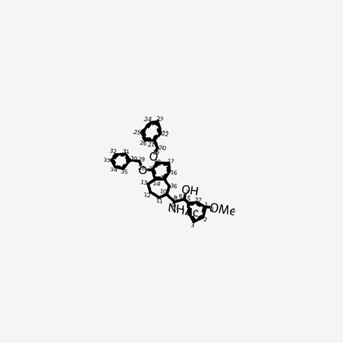 COc1cccc(C(O)C(NC(C)=O)C2CCCc3c(ccc(OCc4ccccc4)c3OCc3ccccc3)C2)c1